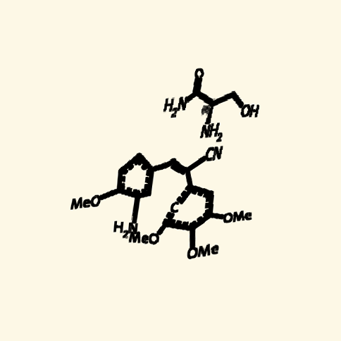 COc1ccc(C=C(C#N)c2cc(OC)c(OC)c(OC)c2)cc1N.NC(=O)[C@H](N)CO